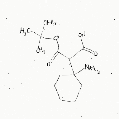 CC(C)(C)OC(=O)C(C(=O)O)C1(N)CCCCC1